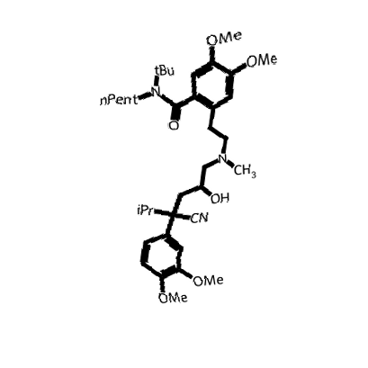 CCCCCN(C(=O)c1cc(OC)c(OC)cc1CCN(C)CC(O)CC(C#N)(c1ccc(OC)c(OC)c1)C(C)C)C(C)(C)C